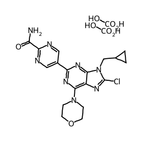 NC(=O)c1ncc(-c2nc(N3CCOCC3)c3nc(Cl)n(CC4CC4)c3n2)cn1.O=C(O)O.O=C(O)O